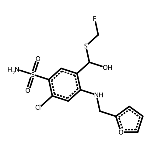 NS(=O)(=O)c1cc(C(O)SCF)c(NCc2ccco2)cc1Cl